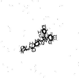 Cc1c(C(=O)Nc2ccc(C(=O)NCc3ncon3)cc2)nn(-c2ccc(Cl)cc2Cl)c1-c1ccc(Cl)cc1